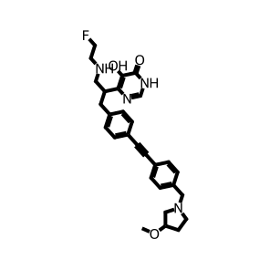 COC1CCN(Cc2ccc(C#Cc3ccc(CC(CNCCF)c4nc[nH]c(=O)c4O)cc3)cc2)C1